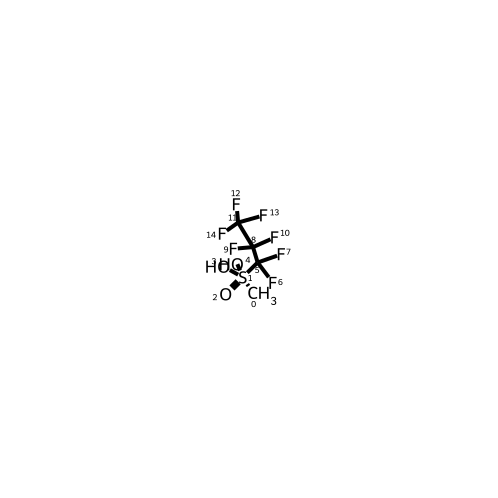 CS(=O)(O)(O)C(F)(F)C(F)(F)C(F)(F)F